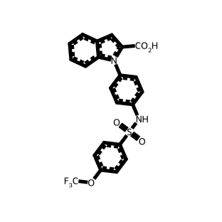 O=C(O)c1cc2ccccc2n1-c1ccc(NS(=O)(=O)c2ccc(OC(F)(F)F)cc2)cc1